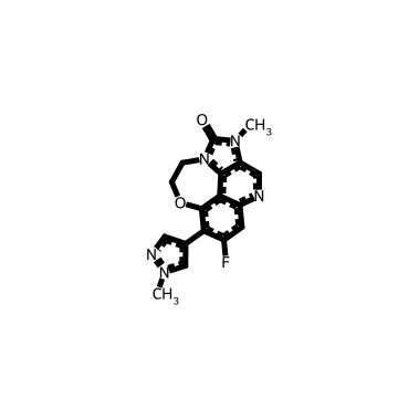 Cn1cc(-c2c(F)cc3ncc4c5c3c2OCCn5c(=O)n4C)cn1